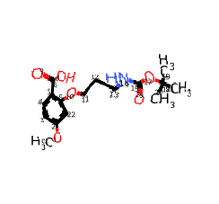 COc1ccc(C(=O)O)c(OCCCNC(=O)OC(C)(C)C)c1